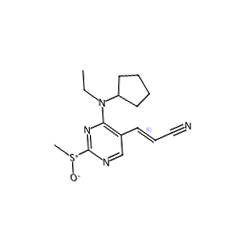 CCN(c1nc([S+](C)[O-])ncc1/C=C/C#N)C1CCCC1